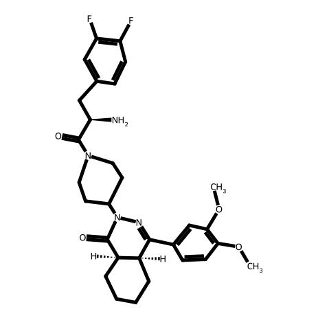 COc1ccc(C2=NN(C3CCN(C(=O)[C@H](N)Cc4ccc(F)c(F)c4)CC3)C(=O)[C@@H]3CCCC[C@H]23)cc1OC